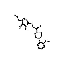 CCCc1cnc(SCC(=O)N2CCN(c3ccccc3OC)CC2)[nH]c1=O